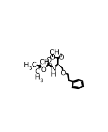 COC(=O)[C@@H](COCCc1ccccc1)NC(=O)OC(C)(C)C